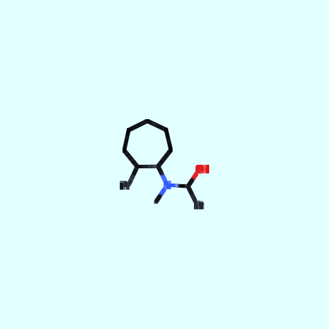 CCC(O)N(C)C1CCCCCC1C(C)C